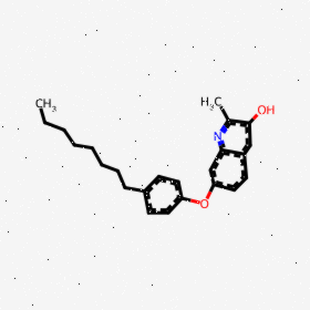 CCCCCCCCc1ccc(Oc2ccc3cc(O)c(C)nc3c2)cc1